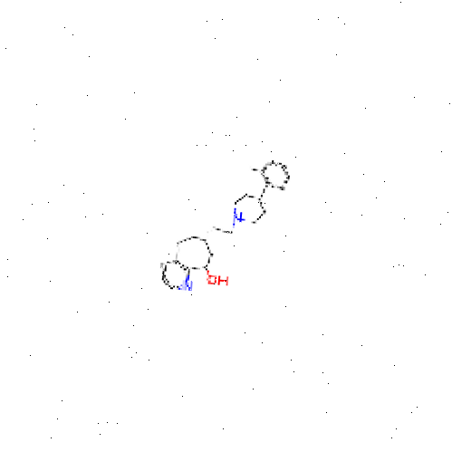 Cc1ccccc1C1CCN(CC[C@H]2CCc3cccnc3[C@H](O)C2)CC1